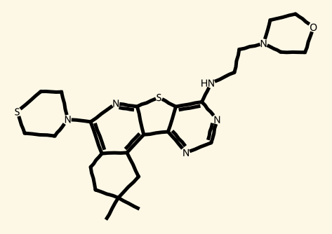 CC1(C)CCc2c(N3CCSCC3)nc3sc4c(NCCN5CCOCC5)ncnc4c3c2C1